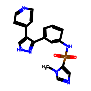 Cn1cncc1S(=O)(=O)Nc1cccc(-c2n[nH]cc2-c2ccncc2)c1